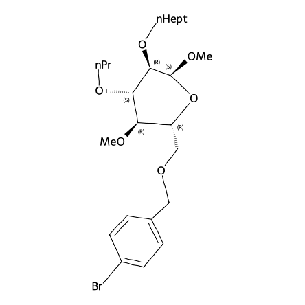 CCCCCCCO[C@H]1[C@@H](OC)O[C@H](COCc2ccc(Br)cc2)[C@@H](OC)[C@@H]1OCCC